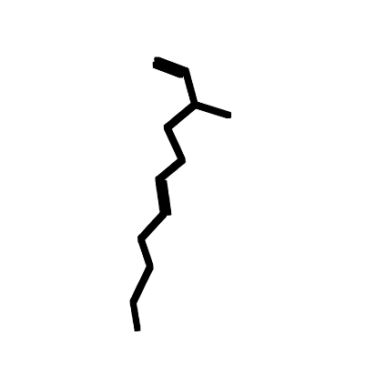 C=CC(C)CCC=CCCCC